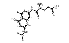 Cc1cc(NC(=O)[C@@H](N)CCC(=O)O)cc2nc(NC(C)C)oc(=O)c12